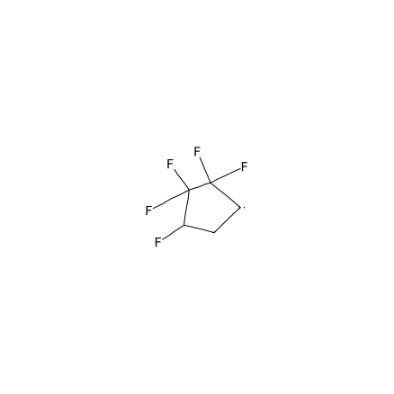 FC1C[CH]C(F)(F)C1(F)F